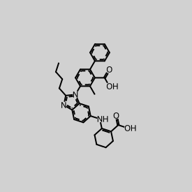 CCCCc1nc2ccc(NC3=C(C(=O)O)CCCC3)cc2n1-c1ccc(-c2ccccc2)c(C(=O)O)c1C